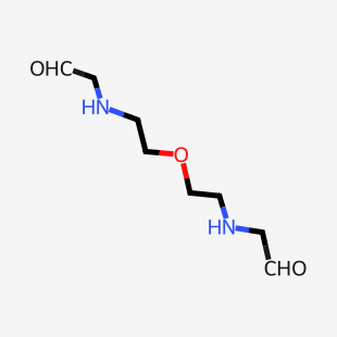 O=CCNCCOCCNCC=O